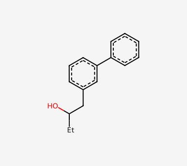 CCC(O)Cc1cccc(-c2ccccc2)c1